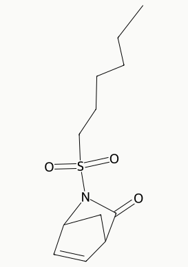 CCCCCCS(=O)(=O)N1C(=O)C2C=CC1C2